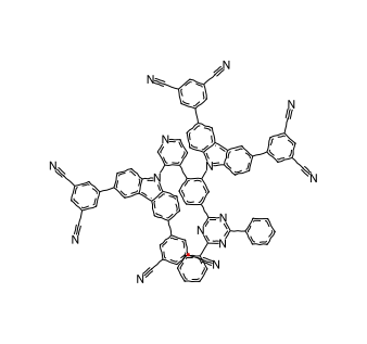 N#Cc1cc(C#N)cc(-c2ccc3c(c2)c2cc(-c4cc(C#N)cc(C#N)c4)ccc2n3-c2cnccc2-c2ccc(-c3nc(-c4ccccc4)nc(-c4ccccc4)n3)cc2-n2c3ccc(-c4cc(C#N)cc(C#N)c4)cc3c3cc(-c4cc(C#N)cc(C#N)c4)ccc32)c1